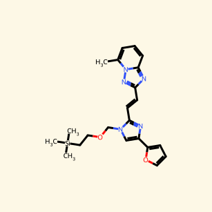 Cc1cccc2nc(C=Cc3nc(-c4ccco4)cn3COCC[Si](C)(C)C)nn12